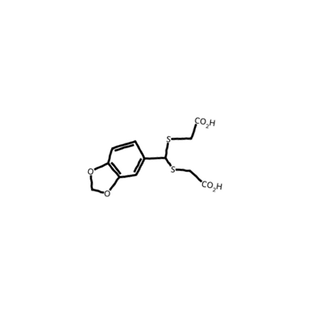 O=C(O)CSC(SCC(=O)O)c1ccc2c(c1)OCO2